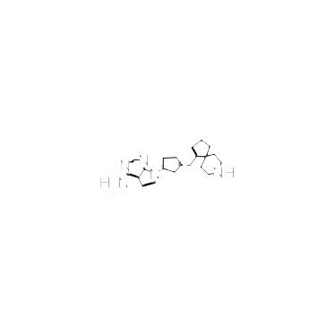 Nc1ncnc2c1ccn2[C@H]1CC[C@@H](CC2=CCCC23CCNCC3)C1